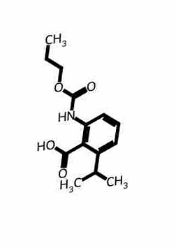 CCCOC(=O)Nc1cccc(C(C)C)c1C(=O)O